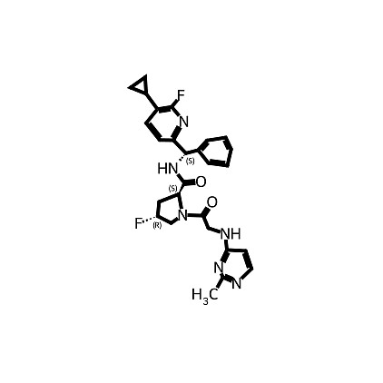 Cc1nccc(NCC(=O)N2C[C@H](F)C[C@H]2C(=O)N[C@@H](c2ccccc2)c2ccc(C3CC3)c(F)n2)n1